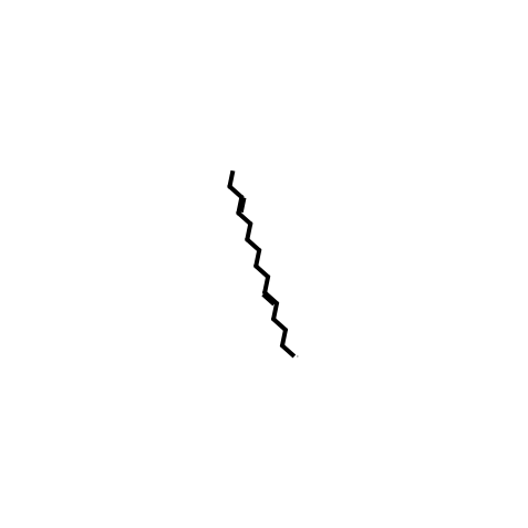 [CH2]CCCC=CCCCCCC=CCC